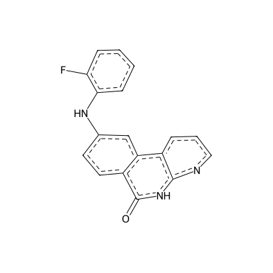 O=c1[nH]c2ncccc2c2cc(Nc3ccccc3F)ccc12